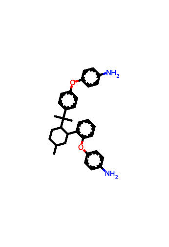 CC1CCC(C(C)(C)c2ccc(Oc3ccc(N)cc3)cc2)C(c2ccccc2Oc2ccc(N)cc2)C1